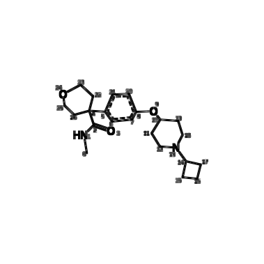 CNC(=O)C1(c2ccc(OC3CCN(C4CCC4)CC3)cc2)CCOCC1